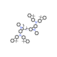 C=Cc1c(/C=C(\C)c2ccc3c(c2)c2cc(N(c4ccc5c(c4)C(C)(C)c4ccccc4-5)c4ccc5c(c4)C(C)(C)c4ccccc4-5)ccc2n3-c2ccccc2)c2cc(N(c3ccc4c(c3)C(C)(C)c3ccccc3-4)c3ccc4c(c3)C(C)(C)c3ccccc3-4)ccc2n1-c1ccccc1